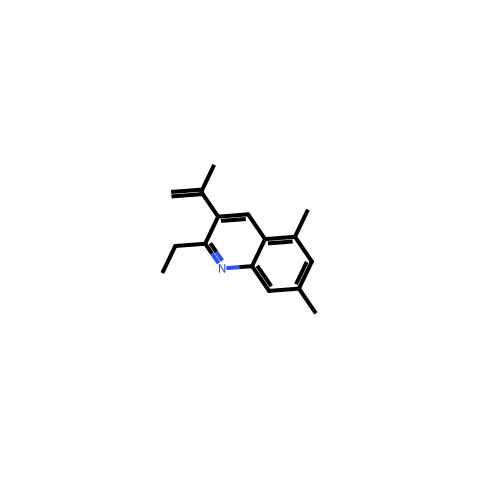 C=C(C)c1cc2c(C)cc(C)cc2nc1CC